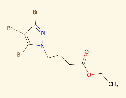 CCOC(=O)CCCn1nc(Br)c(Br)c1Br